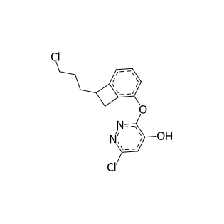 Oc1cc(Cl)nnc1Oc1cccc2c1CC2CCCCl